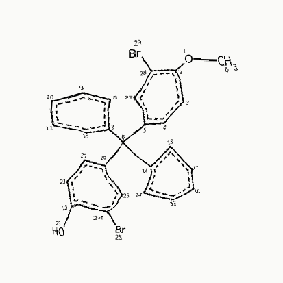 COc1ccc(C(c2ccccc2)(c2ccccc2)c2ccc(O)c(Br)c2)cc1Br